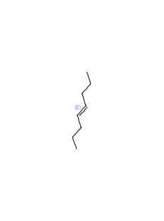 CCC/C=C/CCC